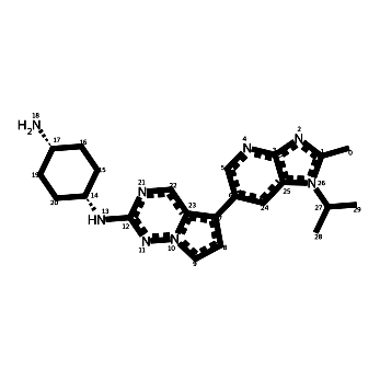 Cc1nc2ncc(-c3ccn4nc(N[C@H]5CC[C@@H](N)CC5)ncc34)cc2n1C(C)C